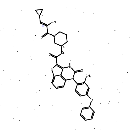 Cc1nc(Oc2ccccc2)ccc1N1C(=O)Nc2c(C(=O)N[C@@H]3CCCN(C(=O)/C(C#N)=C/C4CC4)C3)sc3nccc1c23